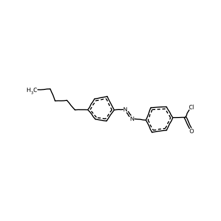 CCCCCc1ccc(N=Nc2ccc(C(=O)Cl)cc2)cc1